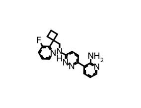 Nc1ncccc1-c1ccc(NCC2(c3ncccc3F)CCC2)nn1